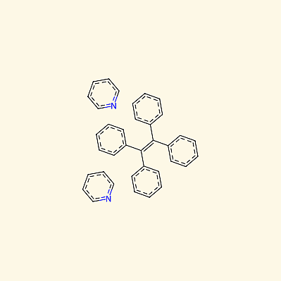 c1ccc(C(=C(c2ccccc2)c2ccccc2)c2ccccc2)cc1.c1ccncc1.c1ccncc1